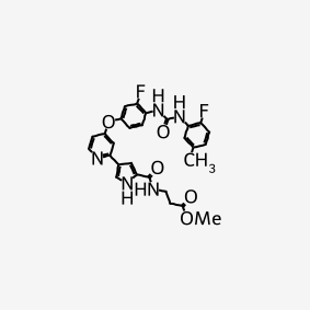 COC(=O)CCNC(=O)c1cc(-c2cc(Oc3ccc(NC(=O)Nc4cc(C)ccc4F)c(F)c3)ccn2)c[nH]1